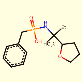 CCC(NP(=O)(O)Cc1ccccc1)(C(=O)O)C1CCCO1